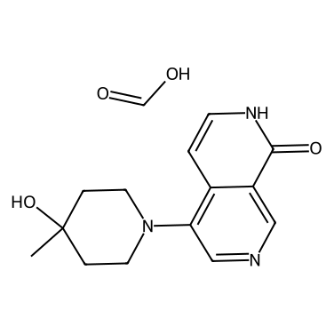 CC1(O)CCN(c2cncc3c(=O)[nH]ccc23)CC1.O=CO